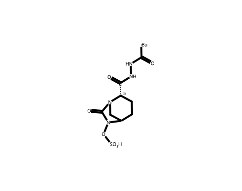 CCC(C)C(=O)NNC(=O)[C@@H]1CCC2CN1C(=O)N2OS(=O)(=O)O